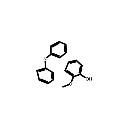 COc1ccccc1O.c1ccc(Nc2ccccc2)cc1